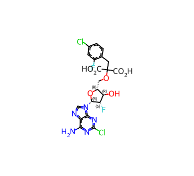 Nc1nc(Cl)nc2c1ncn2[C@@H]1O[C@H](COC(Cc2ccc(Cl)cc2F)(C(=O)O)C(=O)O)[C@@H](O)[C@@H]1F